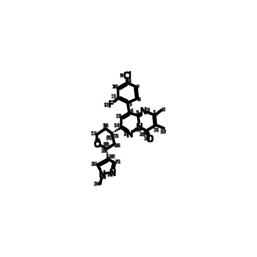 Cc1nc2c(-c3ccc(Cl)cc3F)cc([C@H]3CCO[C@@H](c4cnn(C)c4)C3)nn2c(=O)c1C